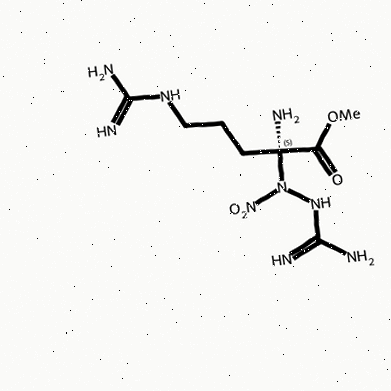 COC(=O)[C@](N)(CCCNC(=N)N)N(NC(=N)N)[N+](=O)[O-]